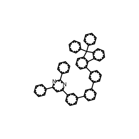 c1ccc(-c2cc(-c3cccc(-c4cccc(-c5cccc(-c6cccc7c6-c6ccccc6C7(c6ccccc6)c6ccccc6)c5)c4)c3)nc(-c3ccccc3)n2)cc1